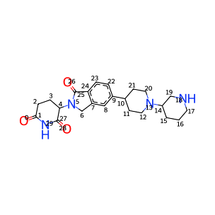 O=C1CCC(N2Cc3cc(C4CCN(C5CCCNC5)CC4)ccc3C2=O)C(=O)N1